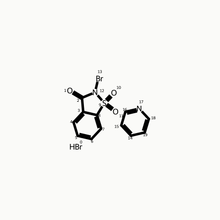 Br.O=C1c2ccccc2S(=O)(=O)N1Br.c1ccncc1